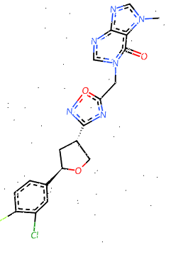 Cn1cnc2ncn(Cc3nc([C@@H]4CO[C@@H](c5ccc(F)c(Cl)c5)C4)no3)c(=O)c21